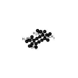 CC1(C)c2ccccc2-c2ccc(N(c3ccccc3)c3cc(-c4ccc(-c5ccc(-c6cc(N(c7ccccc7)c7ccc8c(c7)C(C)(C)c7ccccc7-8)cc(N(c7cc(-c8ccccc8)cc(-c8ccccc8)c7)c7ccc8c(c7)C(C)(C)c7ccccc7-8)c6)cc5)cc4)cc(N(c4cc(-c5ccccc5)cc(-c5ccccc5)c4)c4ccc5c(c4)C(C)(C)c4ccccc4-5)c3)cc21